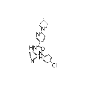 O=C(Nc1ccncc1Nc1ccc(Cl)cc1)c1ccc(N2CC[CH]CC2)nc1